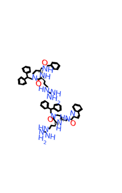 N=C(N)NCCC[C@@H]1N[C@H](CNC(=O)c2ccc3ccccc3n2)CCN(CC(c2ccccc2)c2ccccc2)C1=O.N=C(N)NCCC[C@@H]1N[C@H](CNC(=O)c2ccccc2)CCN(CC(c2ccccc2)c2ccccc2)C1=O